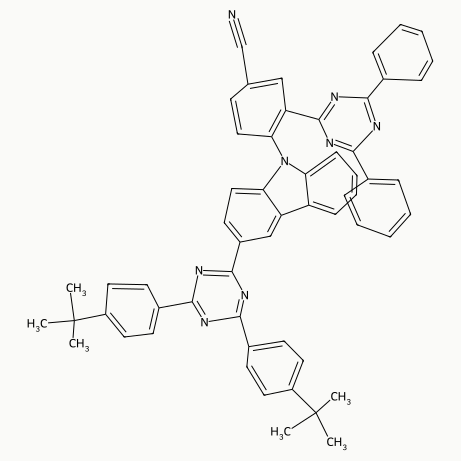 CC(C)(C)c1ccc(-c2nc(-c3ccc(C(C)(C)C)cc3)nc(-c3ccc4c(c3)c3ccccc3n4-c3ccc(C#N)cc3-c3nc(-c4ccccc4)nc(-c4ccccc4)n3)n2)cc1